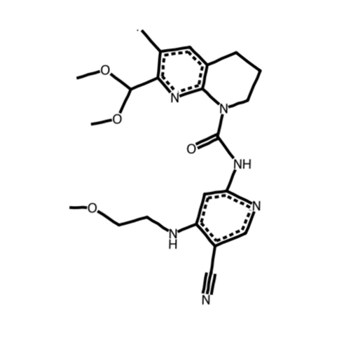 [CH2]c1cc2c(nc1C(OC)OC)N(C(=O)Nc1cc(NCCOC)c(C#N)cn1)CCC2